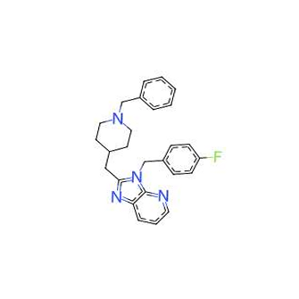 Fc1ccc(Cn2c(CC3CCN(Cc4ccccc4)CC3)nc3cccnc32)cc1